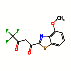 COc1cccc2sc(C(=O)CC(=O)C(F)(F)F)nc12